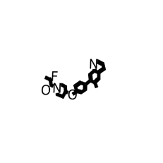 Cc1cc2cccnc2cc1-c1ccc(OC2CCN(C(=O)C(C)F)CC2)cc1